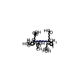 CCCC(N1\C(=C/C=C/C=C/C=C/C2=[N+](CCCS(=O)(=O)O)c3cc(I)cc(I)c3C2(C)CCCCCC(=O)O)C(C)(CCCCS(=O)(=O)O)c2cc(S(=O)(=O)O)ccc21)S(=O)(=O)O